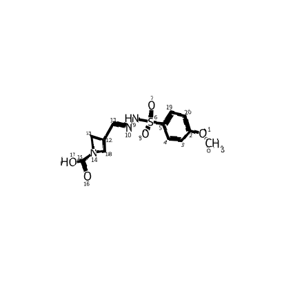 COc1ccc(S(=O)(=O)NN=CC2CN(C(=O)O)C2)cc1